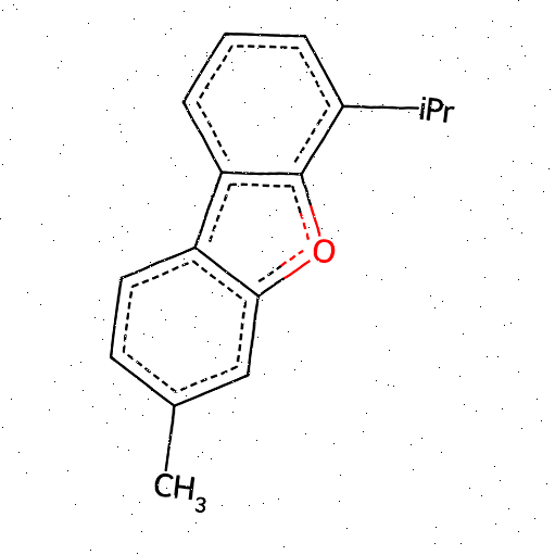 Cc1ccc2c(c1)oc1c(C(C)C)cccc12